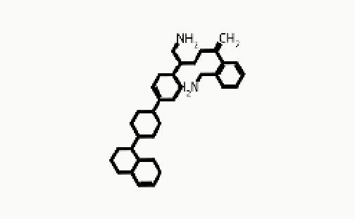 C=C(CCC(CN)C1CC=C(C2CCC(C3CCCC4C=CCCC43)CC2)CC1)C1=C(CN)CCC=C1